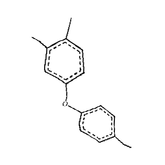 Cc1ccc(Oc2ccc(C)c(C)c2)cc1